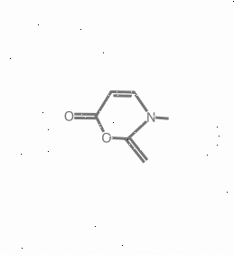 C=C1OC(=O)C=CN1C